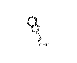 O=C/C=C/n1cc2ccccc2c1